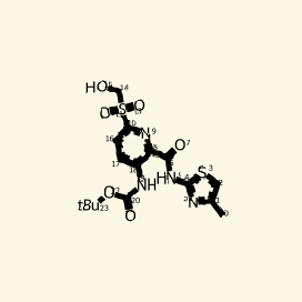 Cc1csc(NC(=O)c2nc(S(=O)(=O)CO)ccc2NC(=O)OC(C)(C)C)n1